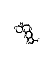 FC1=CN=c2nc3c(cc21)=NCC[C@H]1COCCN31